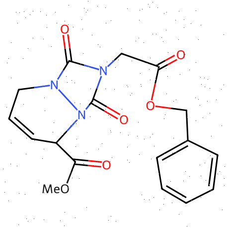 COC(=O)C1C=CCn2c(=O)n(CC(=O)OCc3ccccc3)c(=O)n21